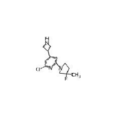 CC1(F)CCN(c2cc(C3CNC3)cc(Cl)n2)C1